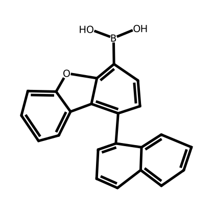 OB(O)c1ccc(-c2cccc3ccccc23)c2c1oc1ccccc12